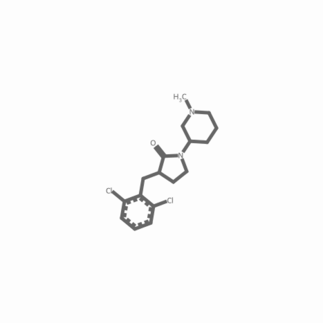 CN1CCCC(N2CCC(Cc3c(Cl)cccc3Cl)C2=O)C1